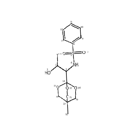 CC(O)C(NS(=O)(=O)c1ccccc1)C12OCC(C)(CO1)CO2